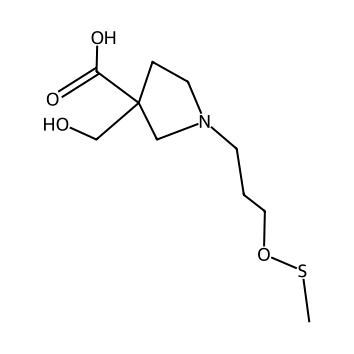 CSOCCCN1CCC(CO)(C(=O)O)C1